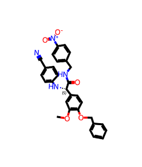 COc1cc([C@H](Nc2ccc(C#N)cc2)C(=O)NCc2ccc([N+](=O)[O-])cc2)ccc1OCc1ccccc1